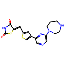 O=C1NC(=O)/C(=C/c2cc(-c3cncc(N4CCCNCC4)n3)cs2)S1